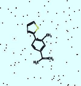 C=C(C)c1ccc(-c2cccs2)c(C)c1